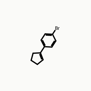 Brc1ccc(C2=CCCC2)cc1